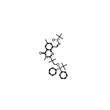 Cc1cc(/C=N\[S@+]([O-])C(C)(C)C)c2nc(C(C)(C)CO[Si](c3ccccc3)(c3ccccc3)C(C)(C)C)n(C)c(=O)c2c1